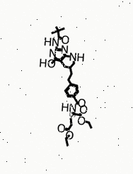 CCOC(=O)CC[C@H](NC(=O)c1ccc(CCC2CNc3nc(NC(=O)C(C)(C)C)nc(O)c3C2)cc1)C(=O)OCC